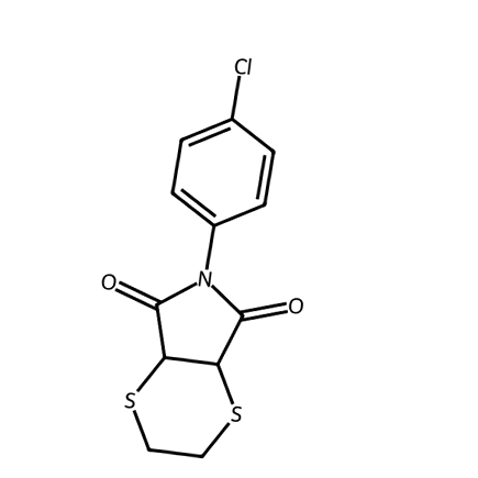 O=C1C2SCCSC2C(=O)N1c1ccc(Cl)cc1